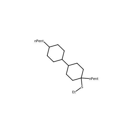 CCCCCC1CCC(C2CCC(CCCCC)(SCC)CC2)CC1